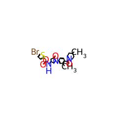 Cc1cc(N2CC(NC(=O)Oc3ccc(Br)s3)CC2=O)ccc1C(=O)N1CCC(C)CC1